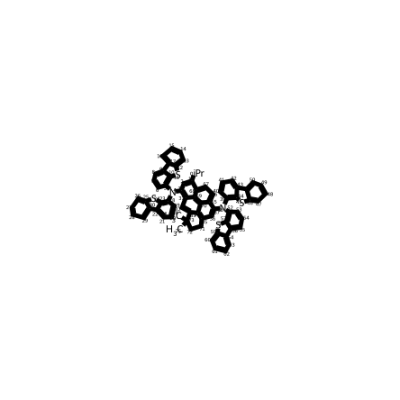 CC(C)c1cc(N(c2cccc3c2sc2ccccc23)c2cccc3c2sc2ccccc23)c2cc3c4c(cc(N(c5cccc6c5sc5ccccc56)c5cccc6c5sc5ccccc56)c5ccc1c2c54)CCC3(C)C